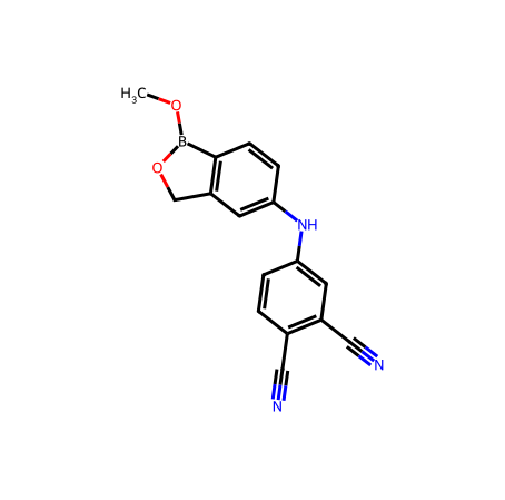 COB1OCc2cc(Nc3ccc(C#N)c(C#N)c3)ccc21